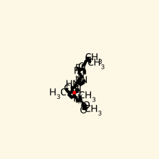 CC(C)c1ccc(N2C[C@H](CCS(C)(=O)=O)[C@H]2C)c2cnc(Nc3ccnc(N4CC[C@H](OCCN(C)C)C(F)(F)C4)n3)cc12